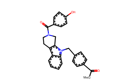 COC(=O)c1ccc(Cn2c3c(c4ccccc42)CCN(C(=O)c2ccc(O)cc2)C3)cc1